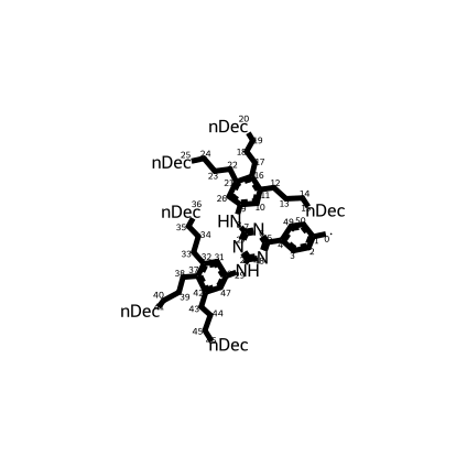 [CH2]c1ccc(-c2nc(Nc3cc(CCCCCCCCCCCCC)c(CCCCCCCCCCCCC)c(CCCCCCCCCCCCC)c3)nc(Nc3cc(CCCCCCCCCCCCC)c(CCCCCCCCCCCCC)c(CCCCCCCCCCCCC)c3)n2)cc1